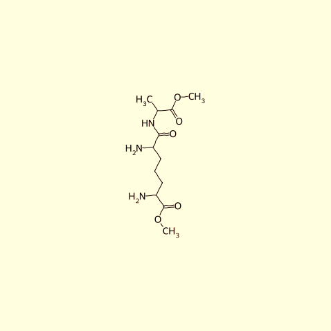 COC(=O)C(N)CCCC(N)C(=O)NC(C)C(=O)OC